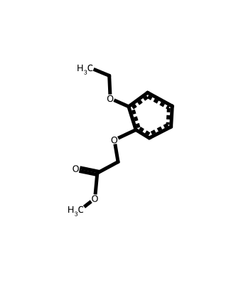 CCOc1ccccc1OCC(=O)OC